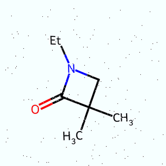 CCN1CC(C)(C)C1=O